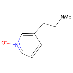 CNCCc1ccc[n+]([O-])c1